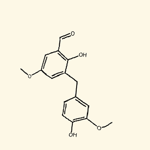 COc1cc(C=O)c(O)c(Cc2ccc(O)c(OC)c2)c1